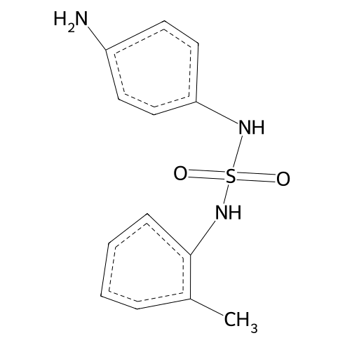 Cc1ccccc1NS(=O)(=O)Nc1ccc(N)cc1